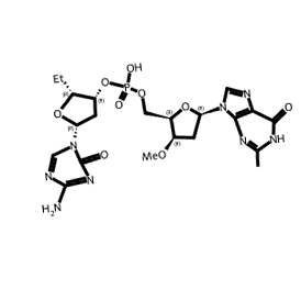 CC[C@H]1O[C@@H](n2cnc(N)nc2=O)C[C@H]1OP(=O)(O)OC[C@H]1O[C@@H](n2cnc3c(=O)[nH]c(C)nc32)C[C@H]1OC